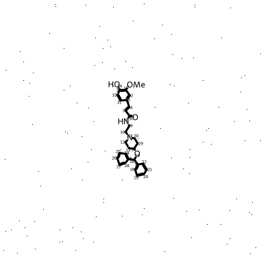 COc1cc(C=CC(=O)NCCN2CCC(OC(c3ccccc3)c3ccccc3)CC2)ccc1O